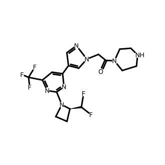 O=C(Cn1cc(-c2cc(C(F)(F)F)nc(N3CC[C@@H]3C(F)F)n2)cn1)N1CCNCC1